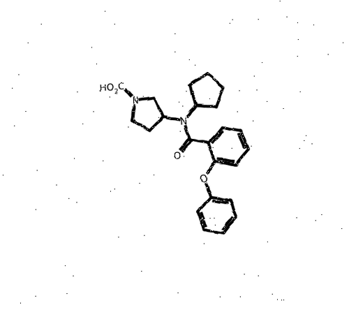 O=C(O)N1CCC(N(C(=O)c2ccccc2Oc2ccccc2)C2CCCC2)C1